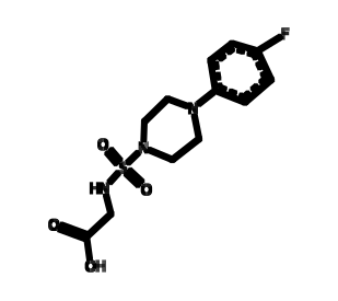 O=C(O)CNS(=O)(=O)N1CCN(c2ccc(F)cc2)CC1